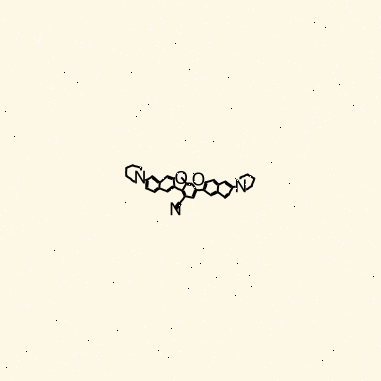 N#Cc1cc2c3cc4ccc(N5CCCCC5)cc4cc3oc2c2oc3cc4cc(N5CCCCC5)ccc4cc3c12